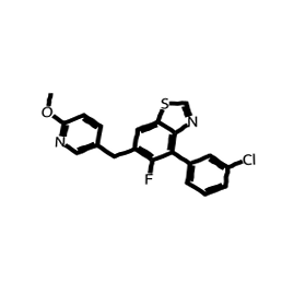 COc1ccc(Cc2cc3scnc3c(-c3cccc(Cl)c3)c2F)cn1